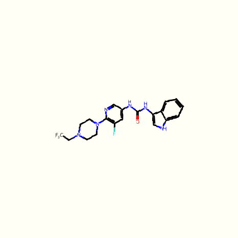 O=C(Nc1cnc(N2CCN(CC(F)(F)F)CC2)c(F)c1)Nc1c[nH]c2ccccc12